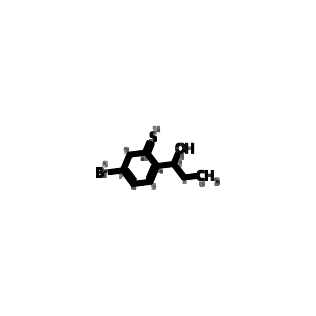 CCC(O)C1=CC=C(Br)CC1=S